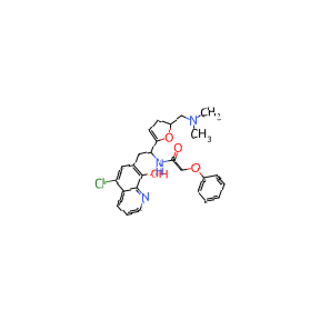 CN(C)CC1CC=C(C(Cc2cc(Cl)c3cccnc3c2O)NC(=O)COc2ccccc2)O1